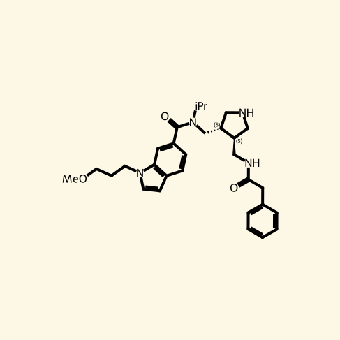 COCCCn1ccc2ccc(C(=O)N(C[C@@H]3CNC[C@H]3CNC(=O)Cc3ccccc3)C(C)C)cc21